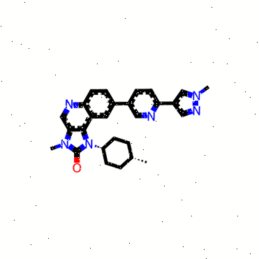 Cn1cc(-c2ccc(-c3ccc4ncc5c(c4c3)n([C@H]3CC[C@@H](C)CC3)c(=O)n5C)cn2)cn1